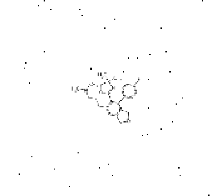 CN(C)CCCc1cc2c(c(-c3ccc(F)cc3)c1C1=NC(C)(C)CO1)COC2